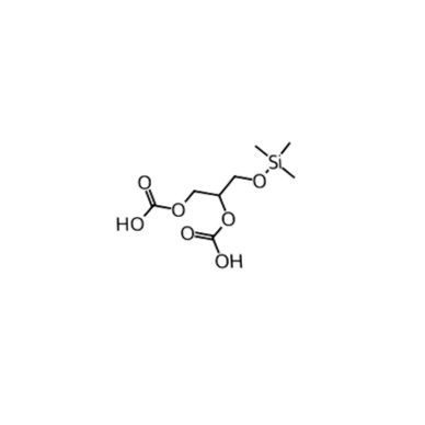 C[Si](C)(C)OCC(COC(=O)O)OC(=O)O